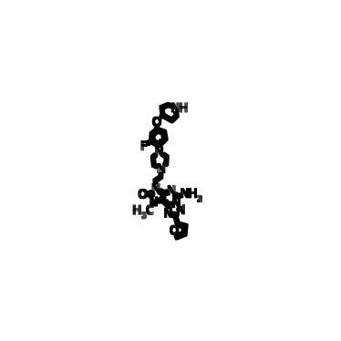 Cn1c(=O)n(CCN2CCN(c3ccc(OC4CCNCC4)cc3F)CC2)c2nc(N)n3nc(-c4ccco4)nc3c21